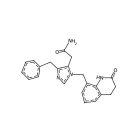 NC(=O)Cc1c(Cc2ccccc2)ncn1Cc1cccc2c1NC(=O)CC2